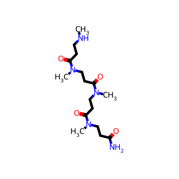 CNCCC(=O)N(C)CCC(=O)N(C)CCC(=O)N(C)CCC(N)=O